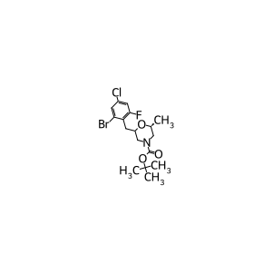 C[C@H]1CN(C(=O)OC(C)(C)C)CC(Cc2c(F)cc(Cl)cc2Br)O1